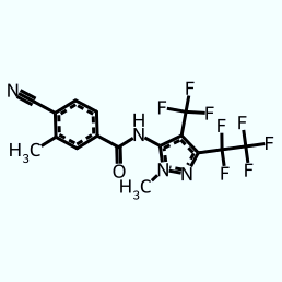 Cc1cc(C(=O)Nc2c(C(F)(F)F)c(C(F)(F)C(F)(F)F)nn2C)ccc1C#N